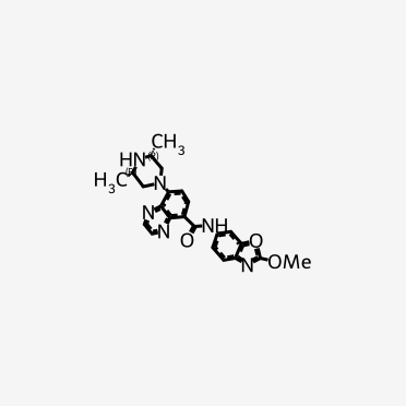 COc1nc2ccc(NC(=O)c3ccc(N4C[C@@H](C)N[C@H](C)C4)c4nccnc34)cc2o1